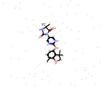 CC[C@@]1(C)NC(=O)N(c2cnc(Oc3ccc(C)c4c3C(C)(C)CO4)nc2)C1=O